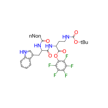 CCCCCCCCCC(=O)NC(Cc1c[nH]c2ccccc12)C(=O)NC(CCNC(=O)OC(C)(C)C)C(=O)Oc1c(F)c(F)c(F)c(F)c1F